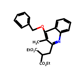 CCOC(=O)C(Cc1nc2ccccc2c(OCc2ccccc2)c1C)C(=O)OCC